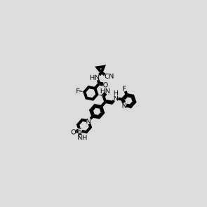 N#CC1(NC(=O)C2C[C@@H](F)CC[C@H]2C(=N)/C(=C\Nc2ncccc2F)c2ccc(N3CCS(=N)(=O)CC3)cc2)CC1